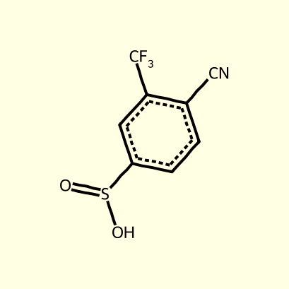 N#Cc1ccc(S(=O)O)cc1C(F)(F)F